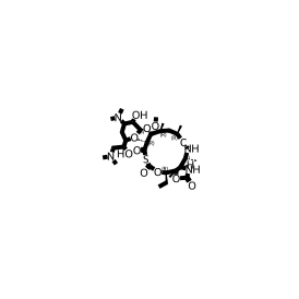 CC[C@H]1OC(=O)SC(=O)[C@H](C)[C@@H](O[C@@H]2OC(C(O)CN(C)C)CC(N(C)C)C2O)[C@](C)(OC)C[C@@H](C)CN[C@H](C)[C@H]2NC(=O)O[C@@]21C